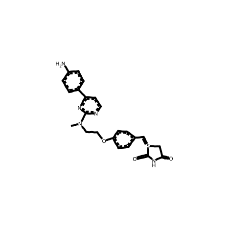 CN(CCOc1ccc(C=S2CC(=O)NC2=O)cc1)c1nccc(-c2ccc(N)cc2)n1